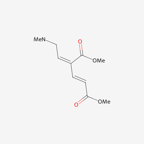 CNCC=C(C=CC(=O)OC)C(=O)OC